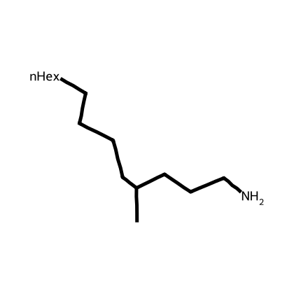 CCCCCCCCCCC(C)CCCN